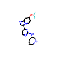 FC(F)Oc1ccn2c(-c3ccnc(N[C@@H]4CCCNC4)n3)cnc2c1